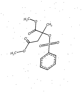 COC(=O)CC(C)(OS(=O)(=O)c1ccccc1)C(=O)OC